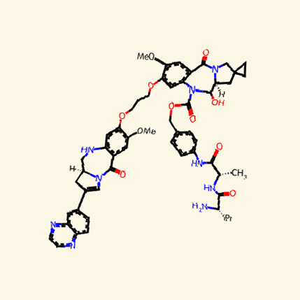 COc1cc2c(cc1OCCCOc1cc3c(cc1OC)C(=O)N1CC4(CC4)C[C@H]1C(O)N3C(=O)OCc1ccc(NC(=O)[C@H](C)NC(=O)[C@@H](N)C(C)C)cc1)NC[C@@H]1CC(c3ccc4nccnc4c3)=CN1C2=O